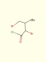 CCCCC(CBr)C(Br)C(=O)Cl